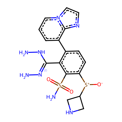 N/N=C(\NN)c1c(-c2cccn3ccnc23)ccc([S+]([O-])C2CNC2)c1S(N)(=O)=O